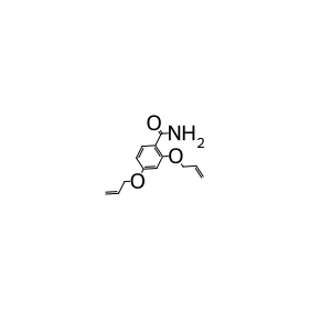 C=CCOc1ccc(C(N)=O)c(OCC=C)c1